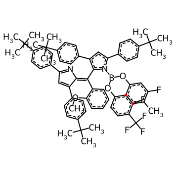 COc1ccccc1/C(=C1/N=C(c2ccc(C(C)(C)C)cc2)C=C1c1ccc(C(C)(C)C)cc1)c1c(-c2ccc(C(C)(C)C)cc2)cc(-c2ccc(C(C)(C)C)cc2)n1B(Oc1ccc(C)c(F)c1)Oc1ccc(C(F)(F)F)c(F)c1